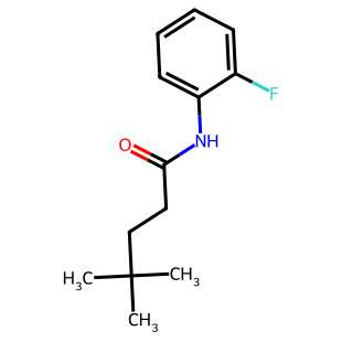 CC(C)(C)CCC(=O)Nc1ccccc1F